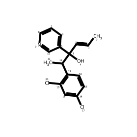 CC=CC(O)(c1cccnc1)C(C)c1ccc(Cl)cc1Cl